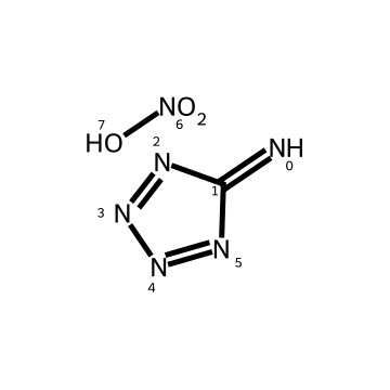 N=C1N=NN=N1.O=[N+]([O-])O